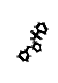 O=S(=O)(N[C@@H]1CCC[C@H]1Cc1ccccc1)c1ccccc1